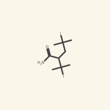 CC(C)(I)CC(C(N)=O)C(C)(C)I